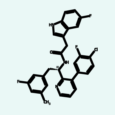 Cc1cc(F)cc(C[C@H](NC(=O)Cc2c[nH]c3ccc(F)cc23)c2ncccc2-c2ccc(Cl)c(F)c2)c1